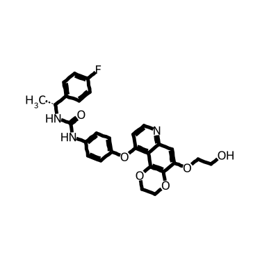 C[C@@H](NC(=O)Nc1ccc(Oc2ccnc3cc(OCCO)c4c(c23)OCCO4)cc1)c1ccc(F)cc1